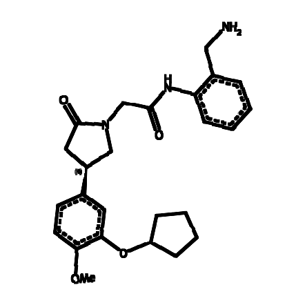 COc1ccc([C@H]2CC(=O)N(CC(=O)Nc3ccccc3CN)C2)cc1OC1CCCC1